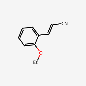 CCOc1ccccc1C=CC#N